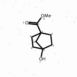 COC(=O)C12CCC(O)(CC1)C2